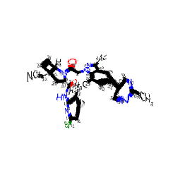 CC(=O)c1nn(CC(=O)N2[C@H](C(=O)Nc3nc(Br)ccc3C)C[C@@]3(CC#N)C#C[C@@H]23)c2c(C)cc(-c3cnc(C)nc3)cc12